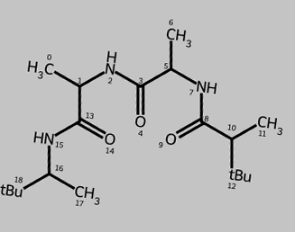 CC(NC(=O)C(C)NC(=O)C(C)C(C)(C)C)C(=O)NC(C)C(C)(C)C